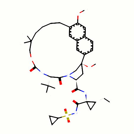 CC[C@@H]1C[C@]1(NC(=O)[C@@H]1C[C@]2(OC)CN1C(=O)[C@H](C(C)(C)C)NC(=O)OCC(C)(C)CCCCc1cc3cc2ccc3cc1OC)C(=O)NS(=O)(=O)C1CC1